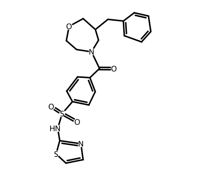 O=C(c1ccc(S(=O)(=O)Nc2nccs2)cc1)N1CCOCC(Cc2ccccc2)C1